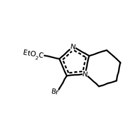 CCOC(=O)c1nc2n(c1Br)CCCC2